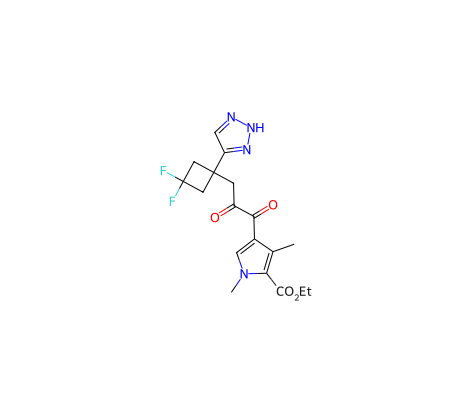 CCOC(=O)c1c(C)c(C(=O)C(=O)CC2(c3cn[nH]n3)CC(F)(F)C2)cn1C